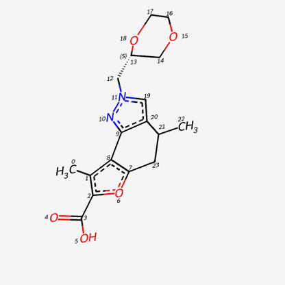 Cc1c(C(=O)O)oc2c1-c1nn(C[C@H]3COCCO3)cc1C(C)C2